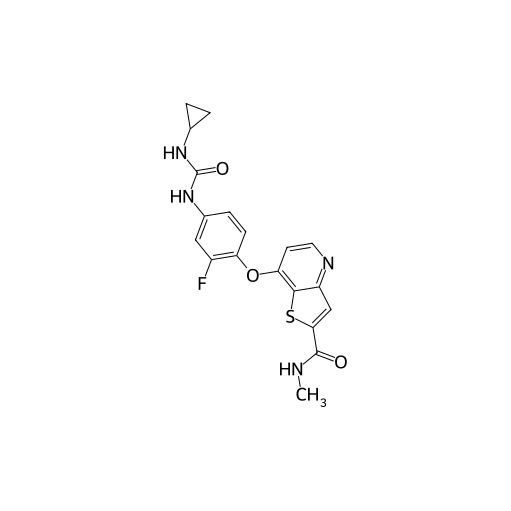 CNC(=O)c1cc2nccc(Oc3ccc(NC(=O)NC4CC4)cc3F)c2s1